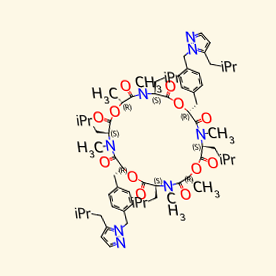 CC(C)Cc1ccnn1Cc1ccc(C[C@H]2OC(=O)[C@H](CC(C)C)N(C)C(=O)[C@@H](C)OC(=O)[C@H](CC(C)C)N(C)C(=O)[C@@H](Cc3ccc(Cn4nccc4CC(C)C)cc3)OC(=O)[C@H](CC(C)C)N(C)C(=O)[C@@H](C)OC(=O)[C@H](CC(C)C)N(C)C2=O)cc1